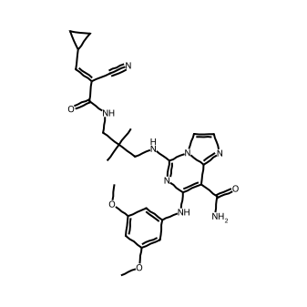 COc1cc(Nc2nc(NCC(C)(C)CNC(=O)C(C#N)=CC3CC3)n3ccnc3c2C(N)=O)cc(OC)c1